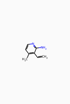 C=Cc1c(C)ccnc1N